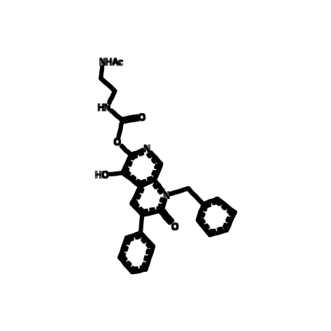 CC(=O)NCCNC(=O)Oc1ncc2c(cc(-c3ccccc3)c(=O)n2Cc2ccccc2)c1O